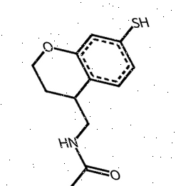 CC(=O)NCC1CCOc2cc(S)ccc21